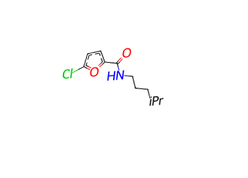 CC(C)CCCNC(=O)c1ccc(Cl)o1